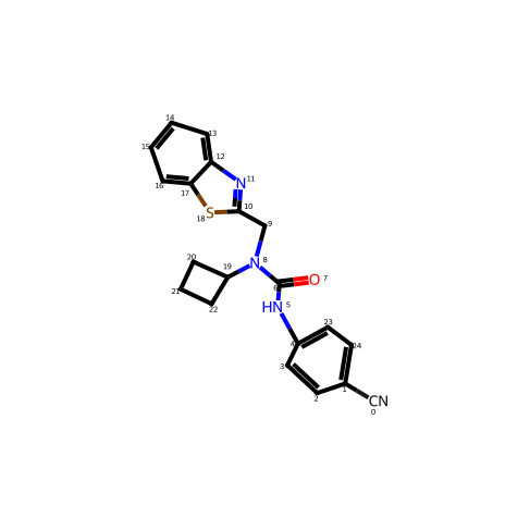 N#Cc1ccc(NC(=O)N(Cc2nc3ccccc3s2)C2CCC2)cc1